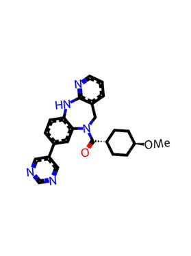 CO[C@H]1CC[C@H](C(=O)N2Cc3cccnc3Nc3ccc(-c4cncnc4)cc32)CC1